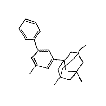 Cc1cc(-c2ccccc2)cc(C23CC4(C)CC(C)(CC(C)(C4)C2)C3)c1